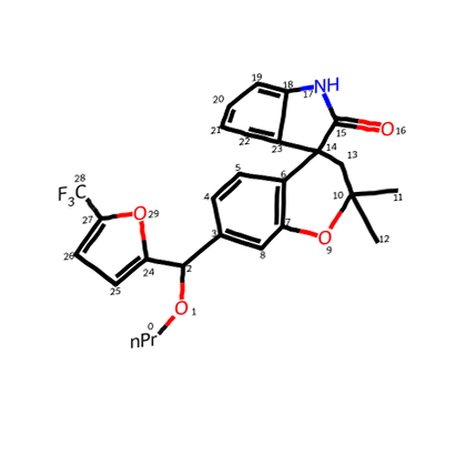 CCCOC(c1ccc2c(c1)OC(C)(C)CC21C(=O)Nc2ccccc21)c1ccc(C(F)(F)F)o1